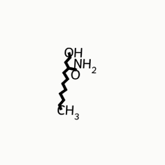 CCCCCCCCC(CCO)C(N)=O